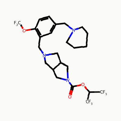 O=C(OC(C(F)(F)F)C(F)(F)F)N1CC2CN(Cc3cc(CN4CCCCC4)ccc3OC(F)(F)F)CC2C1